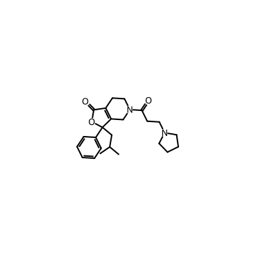 CC(C)CC1(c2ccccc2)OC(=O)C2=C1CN(C(=O)CCN1CCCC1)CC2